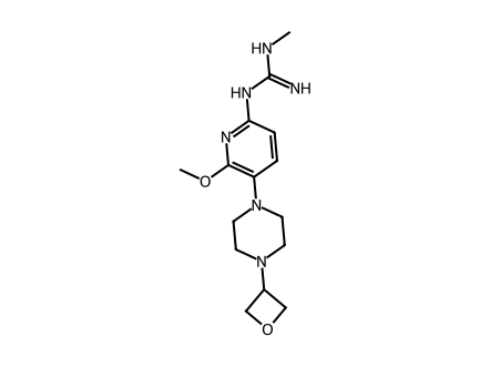 CNC(=N)Nc1ccc(N2CCN(C3COC3)CC2)c(OC)n1